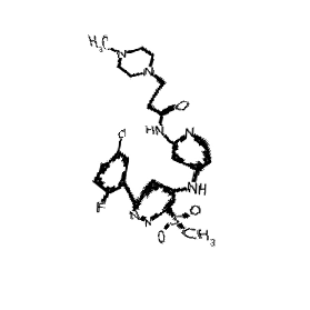 CN1CCN(CCC(=O)Nc2cc(Nc3cc(-c4cc(Cl)ccc4F)nnc3S(C)(=O)=O)ccn2)CC1